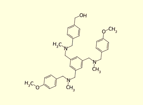 COc1ccc(CN(C)Cc2cc(CN(C)Cc3ccc(CO)cc3)cc(CN(C)Cc3ccc(OC)cc3)c2)cc1